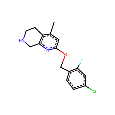 Cc1cc(OCc2ccc(Cl)cc2F)nc2c1CCNC2